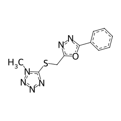 Cn1nnnc1SCc1nnc(-c2ccccc2)o1